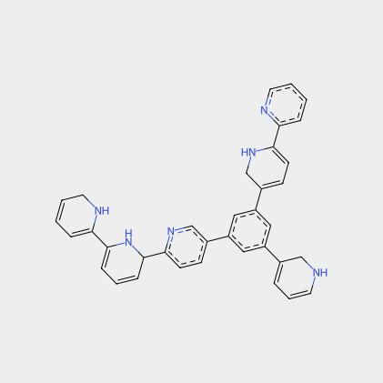 C1=CCNC(C2=CC=CC(c3ccc(-c4cc(C5=CC=CNC5)cc(C5=CC=C(c6ccccn6)NC5)c4)cn3)N2)=C1